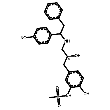 CS(=O)(=O)Nc1cc(C[C@H](O)CNC(Cc2ccccc2)c2ccc(C#N)cc2)ccc1O